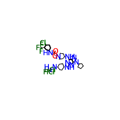 Cl.Cl.N[C@H]1CC[C@H](Nc2nc(NC3CCN(OC(=O)Nc4ccc(Cl)c(C(F)(F)F)c4)CC3)c3ncn(C4CCCC4)c3n2)CC1